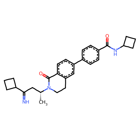 C[C@H](CC(=N)C1CCC1)N1CCc2cc(-c3ccc(C(=O)NC4CCC4)cc3)ccc2C1=O